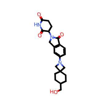 O=C1CCC(N2Cc3cc(N4CC5(CCC(CO)CC5)C4)ccc3C2=O)C(=O)N1